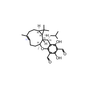 C/C1=C\CC[C@]2(C)Oc3c(C=O)c(O)c(C=O)c(O)c3[C@@H](CC(C)C)[C@H]2[C@H]2[C@@H](CC1)C2(C)C